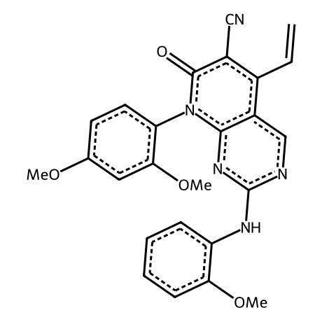 C=Cc1c(C#N)c(=O)n(-c2ccc(OC)cc2OC)c2nc(Nc3ccccc3OC)ncc12